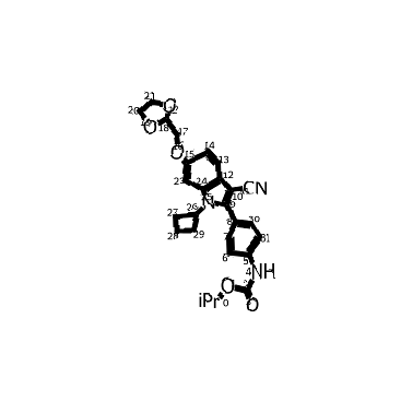 CC(C)OC(=O)Nc1ccc(-c2c(C#N)c3ccc(OCC4OCCO4)cc3n2C2CCC2)cc1